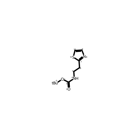 CC(C)(C)OC(=O)NCCc1nccs1